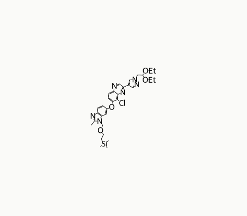 CCOC(Cn1cc(-c2cnc3ccc(Oc4ccc5nc(C)n(COCC[Si](C)(C)C)c5c4)c(Cl)c3n2)cn1)OCC